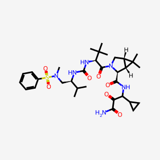 CC(C)[C@@H](CN(C)S(=O)(=O)c1ccccc1)NC(=O)N[C@H](C(=O)N1C[C@H]2[C@@H]([C@H]1C(=O)NC(C(=O)C(N)=O)C1CC1)C2(C)C)C(C)(C)C